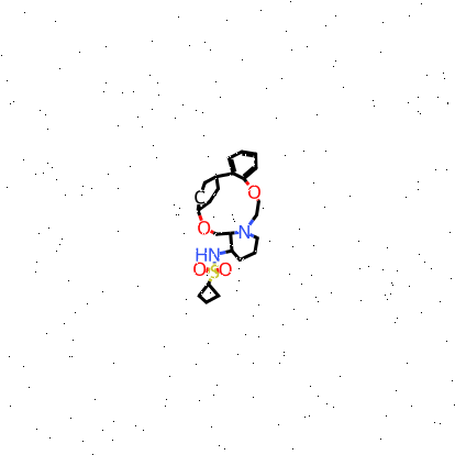 O=S(=O)(NC1CCCN2CCOc3ccccc3C3CCC(CC3)OCC12)C1CCC1